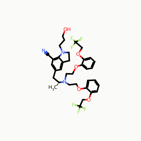 C[C@H](Cc1cc(C#N)c2c(c1)CCN2CCCO)N(CCOc1ccccc1OCC(F)(F)F)CCOc1ccccc1OCC(F)(F)F